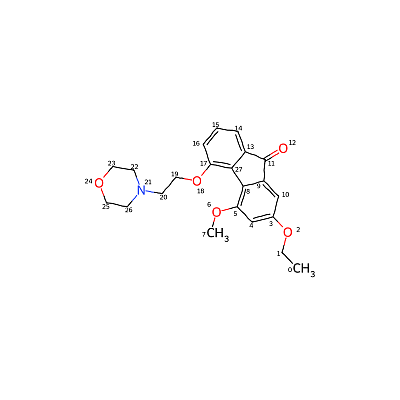 CCOc1cc(OC)c2c(c1)C(=O)c1cccc(OCCN3CCOCC3)c1-2